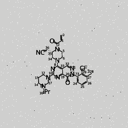 C=CC(=O)N1CCN(c2nc(N3CCCN(C(C)C)C3)nc3c(=O)n(-c4cccc(C)c4C(F)(F)F)ncc23)C[C@@H]1CC#N